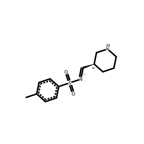 Cc1ccc(S(=O)(=O)/N=C/[C@@H]2CCCNC2)cc1